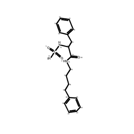 CC(C)S(=O)(=O)NC(Cc1cc[c]cc1)C(=O)NCCCCc1ccccc1